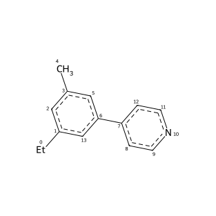 CCc1cc(C)cc(-c2ccncc2)c1